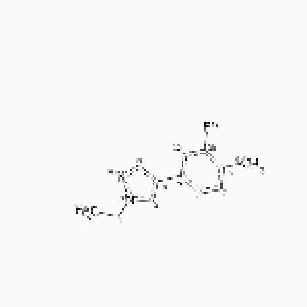 CCn1cc(-c2ccc(C)c(F)c2)cn1